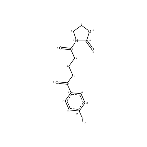 O=C(CCCC(=O)N1CCOC1=O)c1ccc(F)cc1